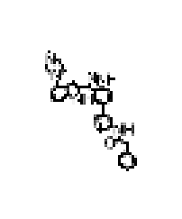 CN1CCN(c2cccc3[nH]c(-c4n[nH]c5ccc(-c6cncc(NC(=O)Cc7ccccc7)c6)cc45)cc23)CC1